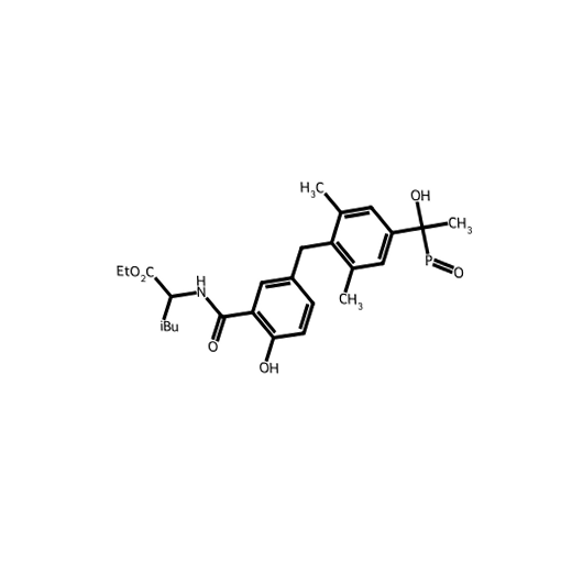 CCOC(=O)C(NC(=O)c1cc(Cc2c(C)cc(C(C)(O)P=O)cc2C)ccc1O)C(C)CC